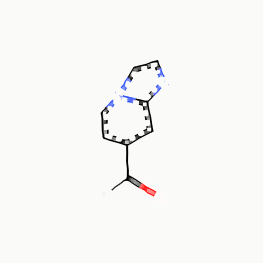 CC(C)(C)C(=O)c1ccn2ccnc2c1